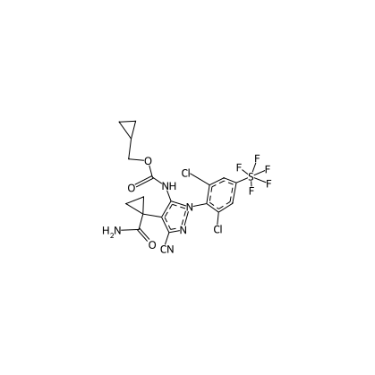 N#Cc1nn(-c2c(Cl)cc(S(F)(F)(F)(F)F)cc2Cl)c(NC(=O)OCC2CC2)c1C1(C(N)=O)CC1